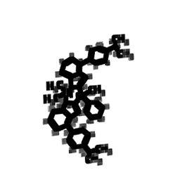 CC(C)c1ccc(-c2cccc3c2C=C2[CH]3[Hf]([CH3])([CH3])[CH]3C(=Cc4c(-c5ccc(C(C)C)cc5)cccc43)[Si]2(C)c2ccccc2)cc1